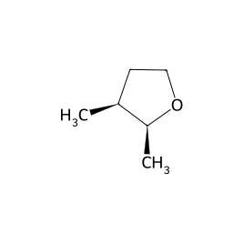 C[C@@H]1OCC[C@@H]1C